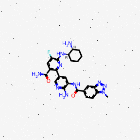 Cn1nnc2cc(C(=O)Nc3cc(-c4nc(N[C@@H]5CCCC[C@@H]5N)c(F)cc4C(N)=O)cnc3N)ccc21